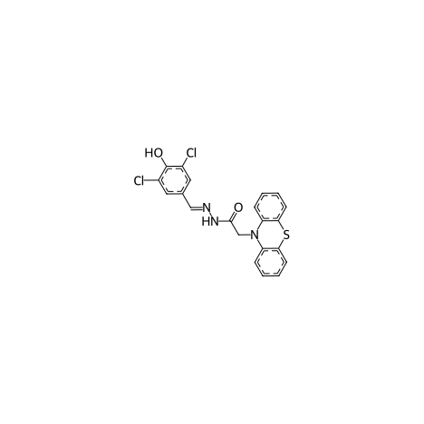 O=C(CN1c2ccccc2Sc2ccccc21)N/N=C/c1cc(Cl)c(O)c(Cl)c1